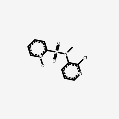 CN(c1cccnc1Cl)S(=O)(=O)c1cccc[n+]1[O-]